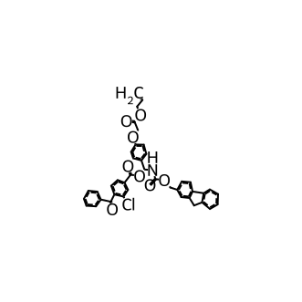 C=CCOC(=O)COc1ccc(C(NC(=O)OCc2ccc3c(c2)Cc2ccccc2-3)OC(=O)c2ccc(C(=O)c3ccccc3)c(Cl)c2)cc1